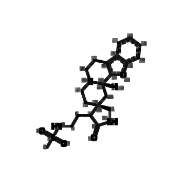 CS(=O)(=O)NCCC1C(=O)NC[C@]12CCN1CCc3c(oc4ccccc34)[C@@H]1C2